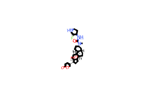 CN(C(=O)NC1CCNC[C@H]1F)[C@H]1CC[C@@]2(C)[C@H](CC[C@@H]3[C@@H]2CC[C@]2(C)[C@@H](c4ccc(=O)oc4)CC[C@]32O)C1